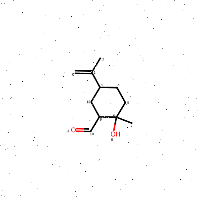 C=C(C)C1CCC(C)(O)C(C=O)C1